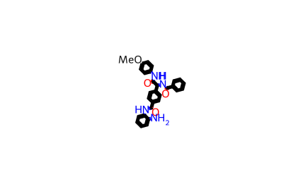 COc1ccc(NC(=O)C(NC(=O)c2ccccc2)c2ccc(C(=O)Nc3ccccc3N)cc2)cc1